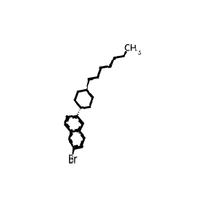 CCCCCCC[C@H]1CC[C@H](c2ccc3cc(Br)ccc3c2)CC1